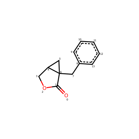 O=C1OCC2CC12Cc1ccccc1